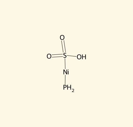 O=[S](=O)(O)[Ni][PH2]